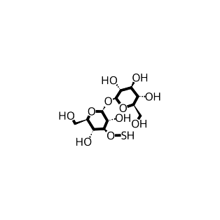 OC[C@H]1O[C@H](O[C@H]2O[C@H](CO)[C@@H](O)[C@H](OS)[C@H]2O)[C@H](O)[C@@H](O)[C@@H]1O